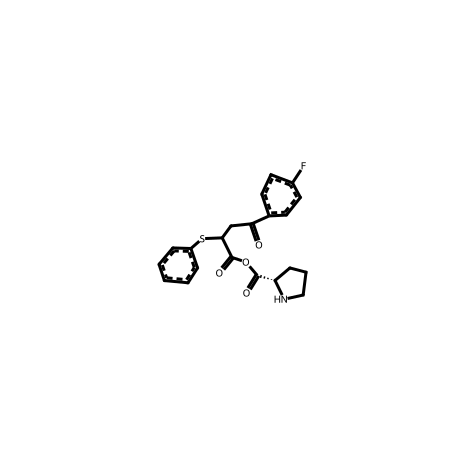 O=C(CC(Sc1ccccc1)C(=O)OC(=O)[C@@H]1CCCN1)c1ccc(F)cc1